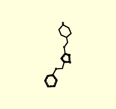 c1ccc(OCc2cc(OCC3CCNCC3)no2)cc1